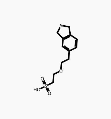 O=S(=O)(O)CCOCCc1ccc2c(c1)CSC2